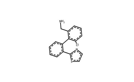 NCc1cccc(Cl)c1-c1ccccc1-c1nccs1